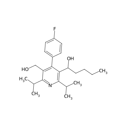 CCCCC(O)c1c(C(C)C)nc(C(C)C)c(CO)c1-c1ccc(F)cc1